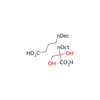 CCCCCCCCC(O)(CO)C(=O)O.CCCCCCCCCCCCCC(=O)O